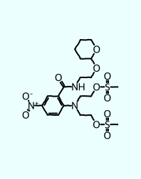 CS(=O)(=O)OCCN(CCOS(C)(=O)=O)c1ccc([N+](=O)[O-])cc1C(=O)NCCOC1CCCCO1